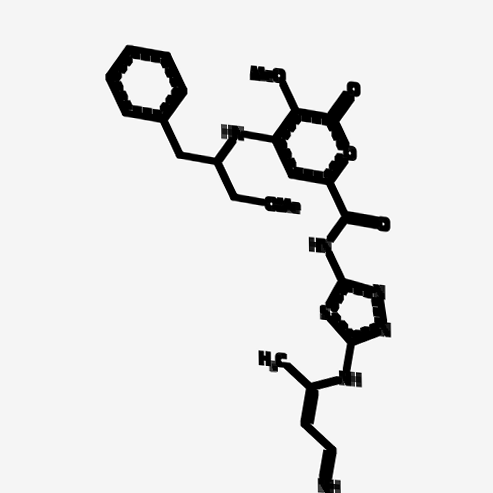 COCC(Cc1ccccc1)Nc1cc(C(=O)Nc2nnc(N/C(C)=C\C=N)s2)oc(=O)c1OC